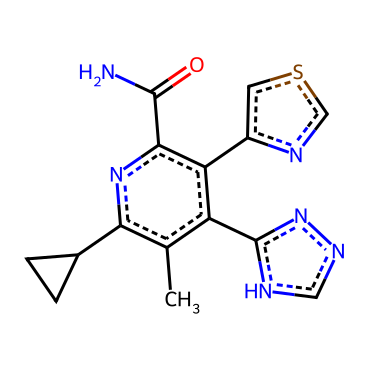 Cc1c(C2CC2)nc(C(N)=O)c(-c2cscn2)c1-c1nnc[nH]1